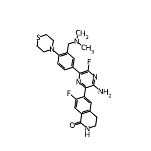 CN(C)Cc1cc(-c2nc(-c3cc4c(cc3F)C(=O)NCC4)c(N)nc2F)ccc1N1CCSCC1